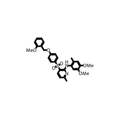 COc1ccccc1COc1ccc(S(=O)(=O)c2ccc(C)nc2Nc2cc(OC)c(OC)cc2C)cc1